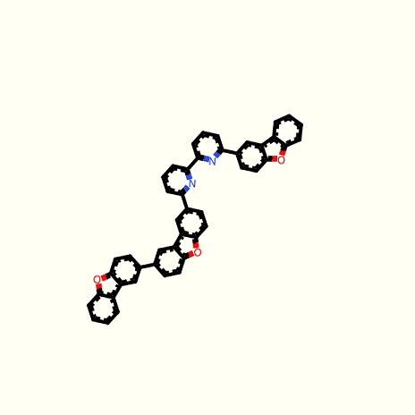 c1cc(-c2ccc3oc4ccccc4c3c2)nc(-c2cccc(-c3ccc4oc5ccc(-c6ccc7oc8ccccc8c7c6)cc5c4c3)n2)c1